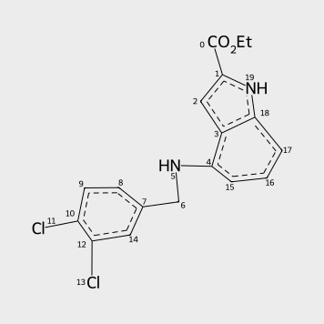 CCOC(=O)c1cc2c(NCc3ccc(Cl)c(Cl)c3)cccc2[nH]1